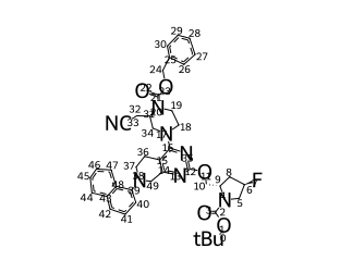 CC(C)(C)OC(=O)N1C[C@H](F)C[C@H]1COc1nc2c(c(N3CCN(C(=O)OCc4ccccc4)C(CC#N)C3)n1)CCN(c1cccc3ccccc13)C2